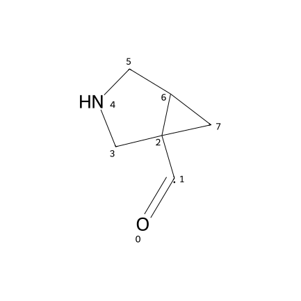 O=[C]C12CNCC1C2